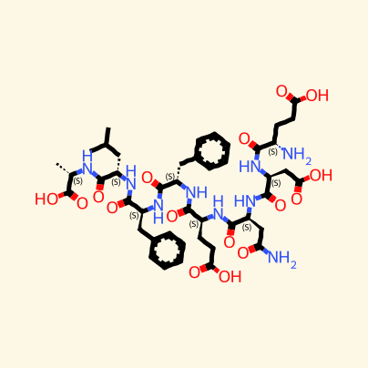 CC(C)C[C@H](NC(=O)[C@H](Cc1ccccc1)NC(=O)[C@H](Cc1ccccc1)NC(=O)[C@H](CCC(=O)O)NC(=O)[C@H](CC(N)=O)NC(=O)[C@H](CC(=O)O)NC(=O)[C@@H](N)CCC(=O)O)C(=O)N[C@@H](C)C(=O)O